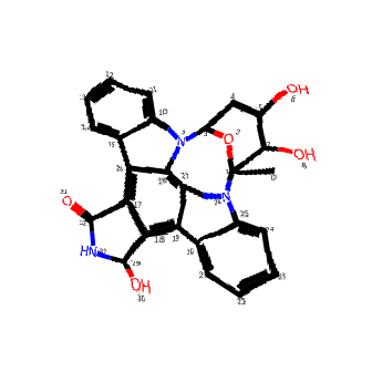 CC12OC(CC(O)C1O)n1c3ccccc3c3c4c(c5c6ccccc6n2c5c31)C(O)NC4=O